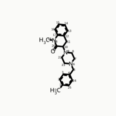 Cc1ccc(CN2CCN(C3Cc4ccccc4N(C)C3=O)CC2)cc1